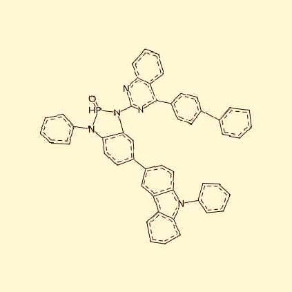 O=[PH]1N(c2ccccc2)c2ccc(-c3ccc4c(c3)c3ccccc3n4-c3ccccc3)cc2N1c1nc(-c2ccc(-c3ccccc3)cc2)c2ccccc2n1